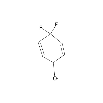 [O]C1C=CC(F)(F)C=C1